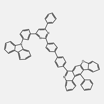 c1ccc(-c2cc(-c3cccc(-n4c5ccccc5c5ccccc54)c3)nc(-c3ccc(-c4ccc(-c5nc6ccccc6c6c(-c7ccccc7)c7c(cc56)oc5ccccc57)cc4)cc3)n2)cc1